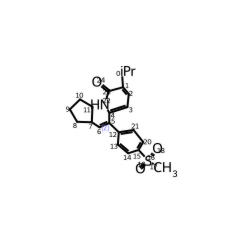 CC(C)c1ccc(/C(=C\C2CCCC2)c2ccc(S(C)(=O)=O)cc2)[nH]c1=O